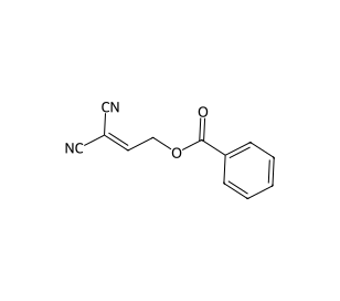 N#CC(C#N)=CCOC(=O)c1ccccc1